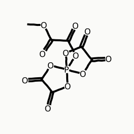 COC(=O)C(=O)OP12(OC(=O)C(=O)O1)OC(=O)C(=O)O2